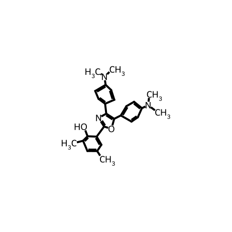 Cc1cc(C)c(O)c(-c2nc(-c3ccc(N(C)C)cc3)c(-c3ccc(N(C)C)cc3)o2)c1